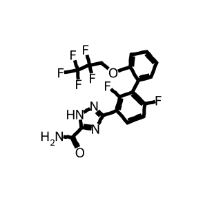 NC(=O)c1nc(-c2ccc(F)c(-c3ccccc3OCC(F)(F)C(F)(F)F)c2F)n[nH]1